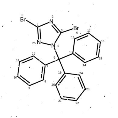 Brc1nc(Br)n(C(c2ccccc2)(c2ccccc2)c2ccccc2)n1